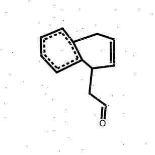 O=[C]CC1C=CCc2ccccc21